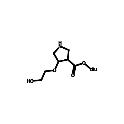 CC(C)(C)OC(=O)C1CNCC1OCCO